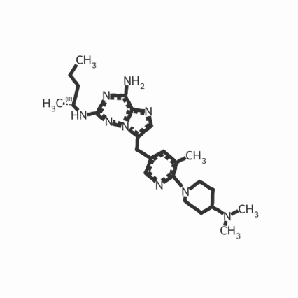 CCC[C@@H](C)Nc1nc(N)c2ncc(Cc3cnc(N4CCC(N(C)C)CC4)c(C)c3)n2n1